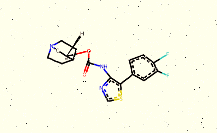 O=C(Nc1ncsc1-c1ccc(F)c(F)c1)O[C@H]1CN2CCC1CC2